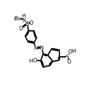 CCC(C)NS(=O)(=O)c1ccc(N=Nc2c(O)ccc3cc(S(=O)O)ccc23)cc1